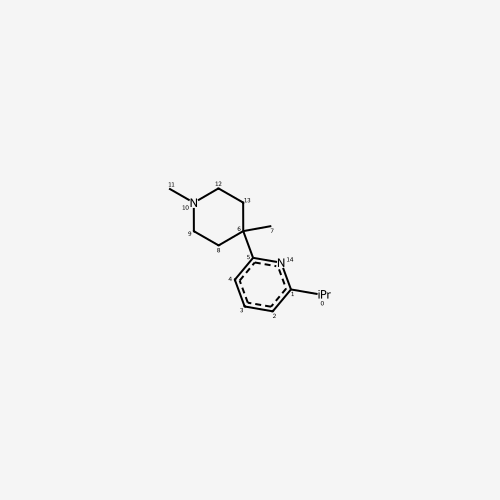 CC(C)c1cccc(C2(C)CCN(C)CC2)n1